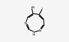 CC(C)c1cnc[nH]nccc1I